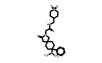 CN(C)C1(c2ccccc2)CCC2(CC1)CC(=O)N(CC(=O)NCC1CCS(=O)(=O)CC1)C2